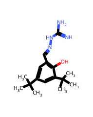 CC(C)(C)c1cc(C=NNC(=N)N)c(O)c(C(C)(C)C)c1